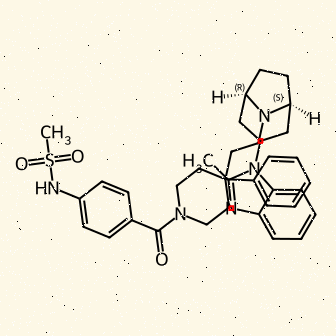 Cc1nc2ccccc2n1C1C[C@H]2CC[C@@H](C1)N2CCC1(c2ccccc2)CCN(C(=O)c2ccc(NS(C)(=O)=O)cc2)CC1